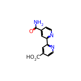 NC(=O)c1ccnc(-c2cc(C(=O)O)ccn2)c1